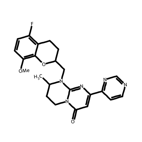 COc1ccc(F)c2c1OC(CN1c3nc(-c4ccncn4)cc(=O)n3CCC1C)CC2